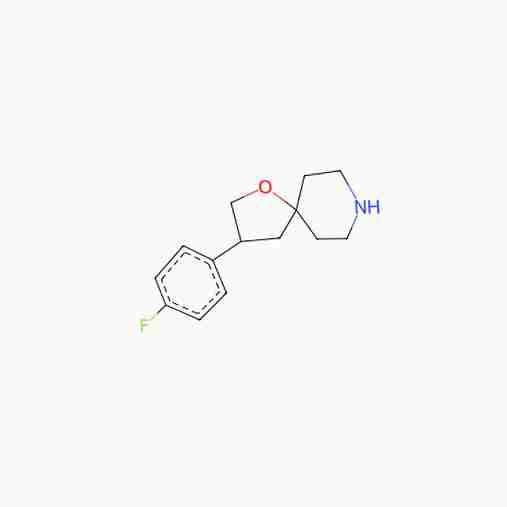 Fc1ccc(C2COC3(CCNCC3)C2)cc1